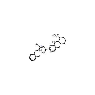 CC(=O)/C(=C/C(=N)c1ncc(F)c(NC2CCCCC2C(=O)O)n1)NCc1ccccc1F